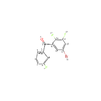 O=C(c1cccc(F)c1)c1cc(Br)cc(F)c1F